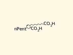 CCCCCC1C=CC(CCCCCCCCC(=O)O)C(C(=O)O)C1